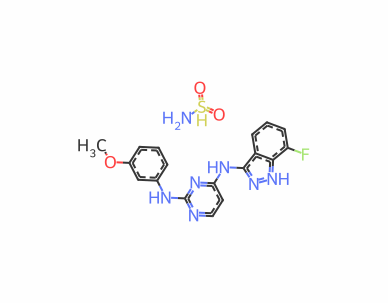 COc1cccc(Nc2nccc(Nc3n[nH]c4c(F)cccc34)n2)c1.N[SH](=O)=O